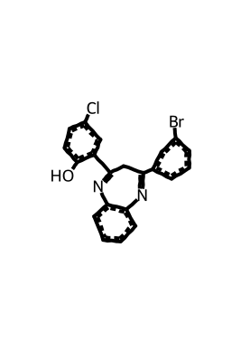 Oc1ccc(Cl)cc1C1=Nc2ccccc2N=C(c2cccc(Br)c2)C1